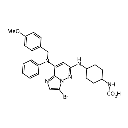 COc1ccc(CN(c2ccccc2)c2cc(NC3CCC(NC(=O)O)CC3)nn3c(Br)cnc23)cc1